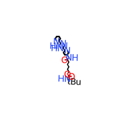 CC(C)(C)NC(=O)OCCCCCC(=O)Nc1ccc(C2=NN=C(c3ccccn3)NN2)nc1